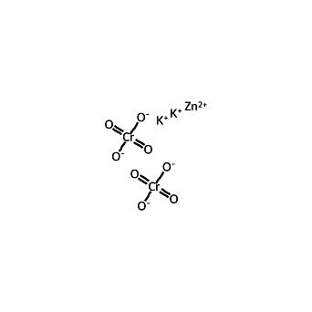 [K+].[K+].[O]=[Cr](=[O])([O-])[O-].[O]=[Cr](=[O])([O-])[O-].[Zn+2]